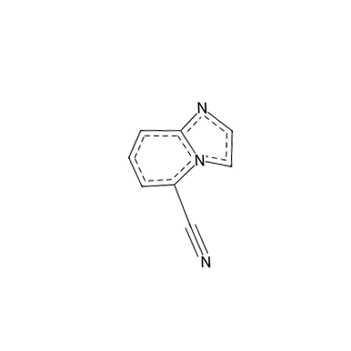 N#Cc1cccc2nccn12